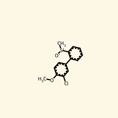 COc1ccc(-c2[c]cccc2[S+](C)[O-])cc1Cl